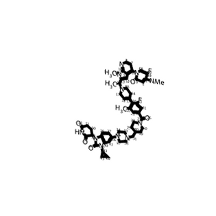 CNc1cc(=O)n(-c2ccnc3c2cc([C@H](C)N2CC=C(c4c(C)cc(C(=O)N5CCC(CN6CCN(c7ccc8c(c7)n(C7CC7)c(=O)n8C7CCC(=O)NC7=O)CC6)CC5)cc4F)CC2)n3C)cc1F